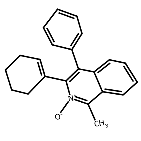 Cc1c2ccccc2c(-c2ccccc2)c(C2=CCCCC2)[n+]1[O-]